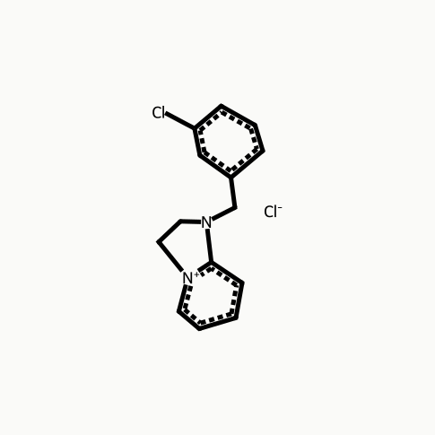 Clc1cccc(CN2CC[n+]3ccccc32)c1.[Cl-]